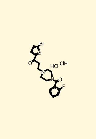 Cl.Cl.O=C(CCN1CCN(C(=O)c2ccccc2F)CC1)c1ccc(Br)s1